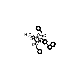 CC(C)CN(CC(O)C(=O)OCc1ccccc1)C(=O)NC(C(=O)OCc1ccccc1)c1ccc(-c2cccc3ccccc23)cc1